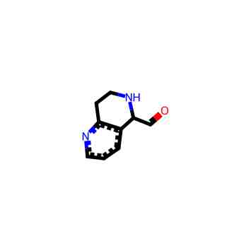 O=CC1NCCc2ncccc21